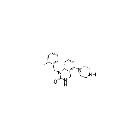 Cc1ccccc1CN1C(=O)NCc2c(N3CCNCC3)cccc21